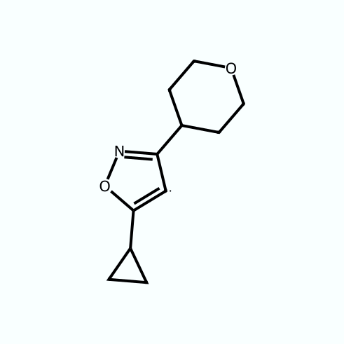 [c]1c(C2CCOCC2)noc1C1CC1